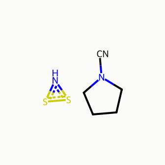 N#CN1CCCC1.[nH]1ss1